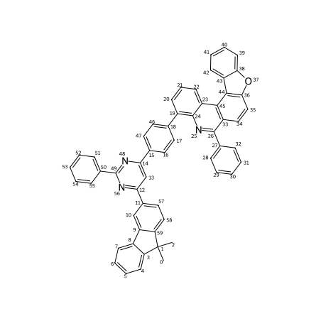 CC1(C)c2ccccc2-c2cc(-c3cc(-c4ccc(-c5cccc6c5nc(-c5ccccc5)c5ccc7oc8ccccc8c7c56)cc4)nc(-c4ccccc4)n3)ccc21